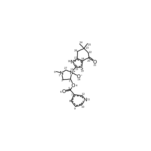 CN1CC(OC(=O)c2cccnc2)[N+]([O-])(c2nc3c(s2)C(=O)CC(C)(C)C3)C1